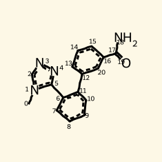 Cn1cnnc1-c1ccccc1-c1cccc(C(N)=O)c1